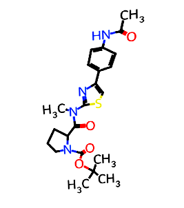 CC(=O)Nc1ccc(-c2csc(N(C)C(=O)C3CCCN3C(=O)OC(C)(C)C)n2)cc1